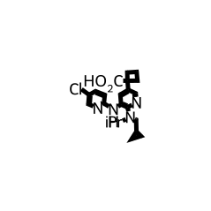 CC(C)N(CC1CC1)c1ncc(C2(C(=O)O)CCC2)cc1Nc1ccc(Cl)cn1